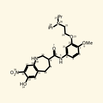 COc1ccc(NC(=O)C2CCc3cc(O)c([N+](=O)[O-])cc3NC2)cc1OCCN(C(C)C)C(C)C